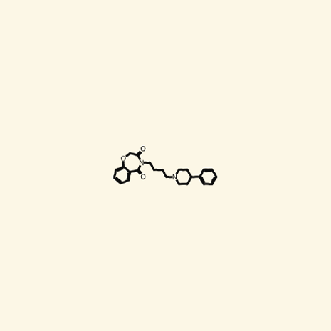 O=C1COc2ccccc2C(=O)N1CCCCN1CCC(c2ccccc2)CC1